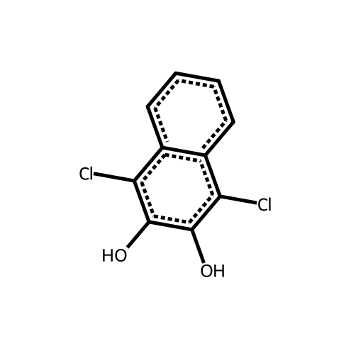 Oc1c(O)c(Cl)c2ccccc2c1Cl